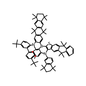 Cc1cc2c3c(c1)N(c1ccc4c(c1)C(C)(C)CCC4(C)C)c1c(sc4cc5c(cc14)C(C)(C)c1ccccc1C5(C)C)B3c1cc3c(cc1N2c1ccc(C(C)(C)C)cc1-c1ccc(C(C)(C)C)cc1)C(C)(C)c1cc2c(cc1C3(C)C)C(C)(C)CCC2(C)C